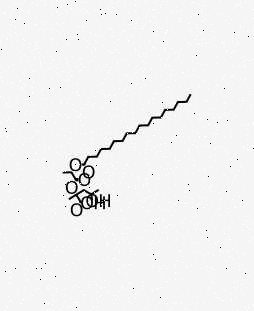 CCCCCCCCCCCCCCCCCC(=O)OC(C)C(=O)OC(C)(CC(C)O)C(=O)O